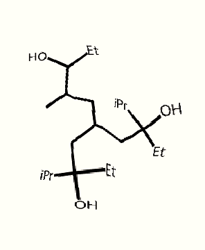 CCC(O)C(C)CC(CC(O)(CC)C(C)C)CC(O)(CC)C(C)C